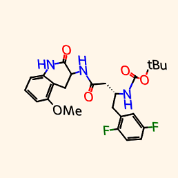 COc1cccc2c1CC(NC(=O)C[C@@H](Cc1cc(F)ccc1F)NC(=O)OC(C)(C)C)C(=O)N2